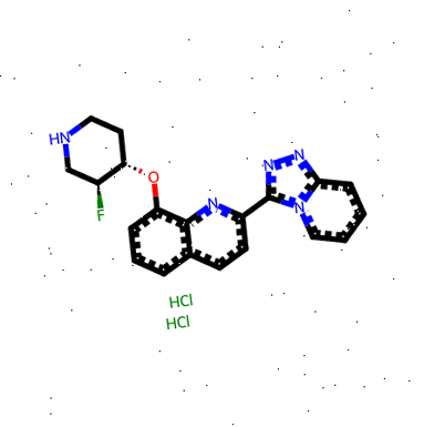 Cl.Cl.F[C@H]1CNCC[C@@H]1Oc1cccc2ccc(-c3nnc4ccccn34)nc12